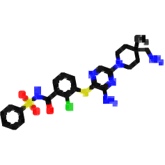 CC1(CN)CCN(c2cnc(Sc3cccc(C(=O)NS(=O)(=O)c4ccccc4)c3Cl)c(N)n2)CC1